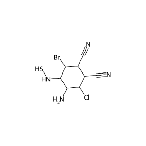 N#CC1C(Cl)C(N)C(NS)C(Br)C1C#N